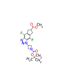 COC(=O)C1Cc2c(c(F)c3c(nnn3C3CN(C(=O)OC(C)(C)C)C3)c2F)C1